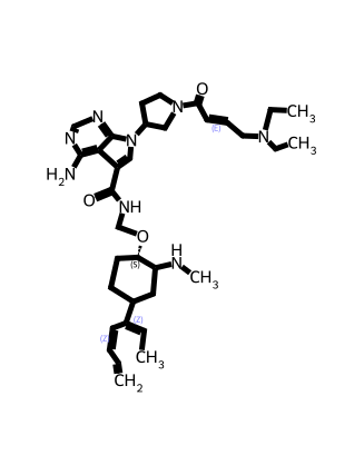 C=C/C=C\C(=C/C)C1CC[C@H](OCNC(=O)c2cn(C3CCN(C(=O)/C=C/CN(CC)CC)C3)c3ncnc(N)c23)C(NC)C1